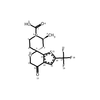 C[C@H]1C[C@@]2(CCN1C(=O)O)OCC(=O)c1cc(C(F)(F)F)sc12